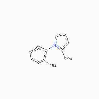 CCc1ccccc1-n1cccc1C